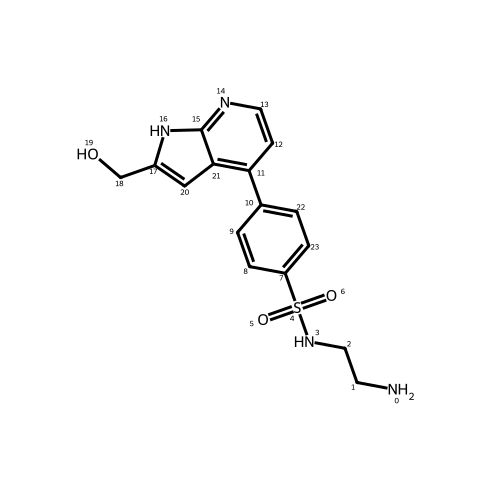 NCCNS(=O)(=O)c1ccc(-c2ccnc3[nH]c(CO)cc23)cc1